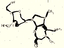 CN1CN([C@H]2C[C@H](O)[C@@H](CO)O2)c2nc(=O)n(C)c(N)c21